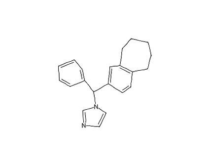 c1ccc(C(c2ccc3c(c2)CCCCC3)n2ccnc2)cc1